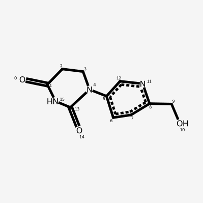 O=C1CCN(c2ccc(CO)nc2)C(=O)N1